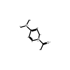 CC(=O)N1C=CC(N(C)C)=CC1